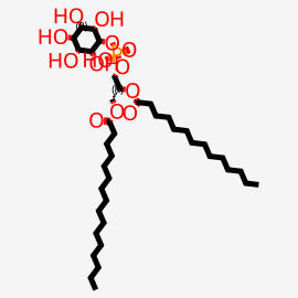 CCCCCCCCCCCCCCCC(=O)OC[C@H](COP(=O)(O)OC1C(O)C(O)C(O)[C@@H](O)C1O)OC(=O)CCCCCCCCCCCCC